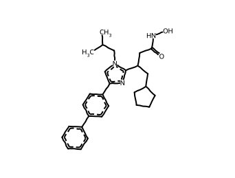 CC(C)Cn1cc(-c2ccc(-c3ccccc3)cc2)nc1C(CC(=O)NO)CC1CCCC1